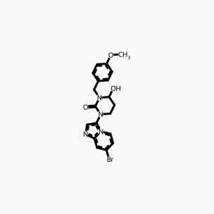 COc1ccc(CN2C(=O)N(c3cnc4cc(Br)ccn34)CCC2O)cc1